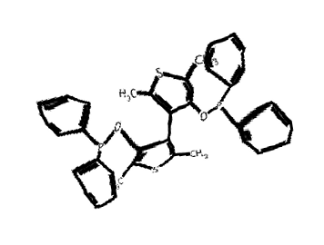 Cc1sc(C)c(-c2c(C)sc(C)c2OP(c2ccccc2)c2ccccc2)c1OP(c1ccccc1)c1ccccc1